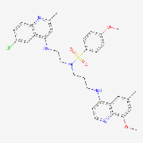 COc1ccc(S(=O)(=O)N(CCCNc2ccnc3c(OC)cc(C)cc23)CCNc2cc(C)nc3ccc(Cl)cc23)cc1